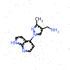 Cc1nn(-c2ccnc3[nH]ccc23)cc1CN